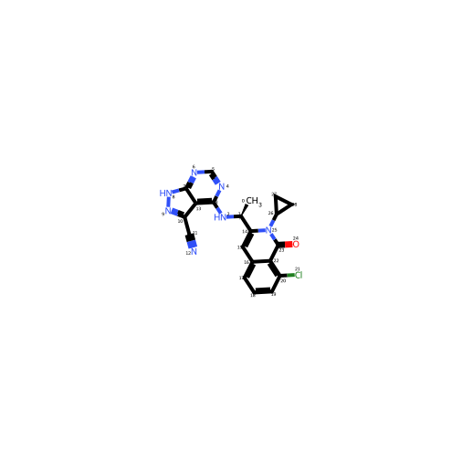 C[C@H](Nc1ncnc2[nH]nc(C#N)c12)c1cc2cccc(Cl)c2c(=O)n1C1CC1